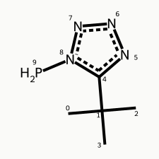 CC(C)(C)c1nnnn1P